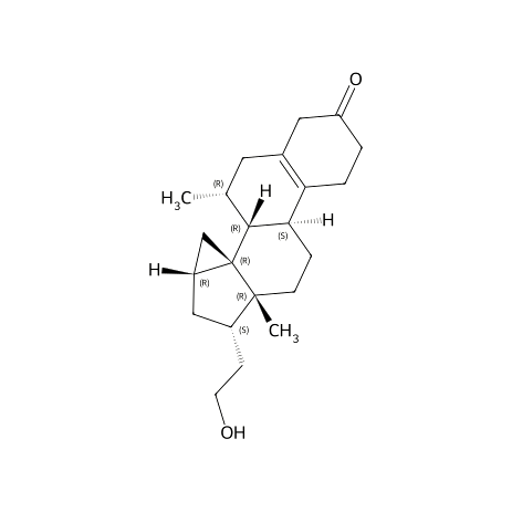 C[C@@H]1CC2=C(CCC(=O)C2)[C@H]2CC[C@]3(C)[C@H](CCO)C[C@@H]4C[C@]43[C@H]12